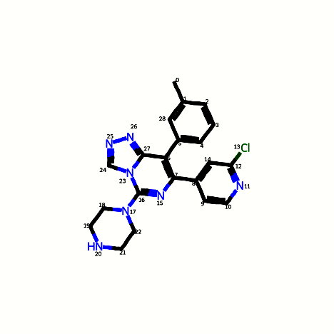 Cc1cccc(-c2c(-c3ccnc(Cl)c3)nc(N3CCNCC3)n3cnnc23)c1